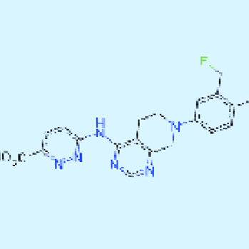 N#Cc1ccc(N2CCc3c(ncnc3Nc3ccc(C(=O)O)nn3)C2)cc1CF